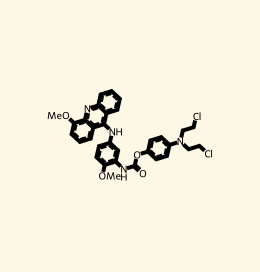 COc1ccc(Nc2c3ccccc3nc3c(OC)cccc23)cc1NC(=O)Oc1ccc(N(CCCl)CCCl)cc1